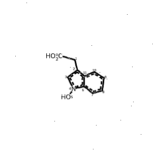 O=C(O)Cc1cn(O)c2ccccc12